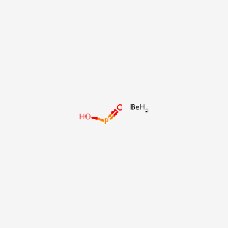 O=PO.[BeH2]